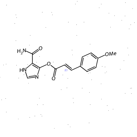 COc1ccc(/C=C/C(=O)Oc2nc[nH]c2C(N)=O)cc1